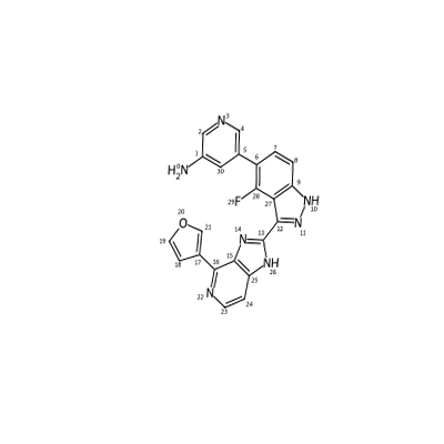 Nc1cncc(-c2ccc3[nH]nc(-c4nc5c(-c6ccoc6)nccc5[nH]4)c3c2F)c1